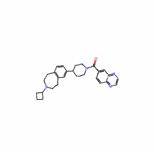 O=C(c1ccc2nccnc2c1)N1CCC(c2ccc3c(c2)CCN(C2CCC2)CC3)CC1